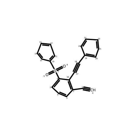 C#Cc1cccc(S(=O)(=O)c2ccccc2)c1C#Cc1ccccc1